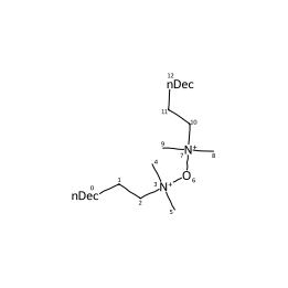 CCCCCCCCCCCC[N+](C)(C)O[N+](C)(C)CCCCCCCCCCCC